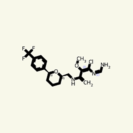 C=C(NC[C@H]1CCC[C@@H](c2ccc(C(F)(F)F)cc2)O1)/C(OC)=C(Cl)\N=C/N